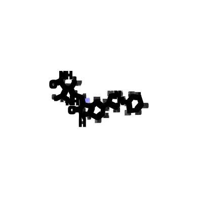 Cc1[nH]c(/C=C2\C(=O)Nc3ccc(-c4cnn(-c5ccccc5)c4)cc32)c(C)c1C(N)=O